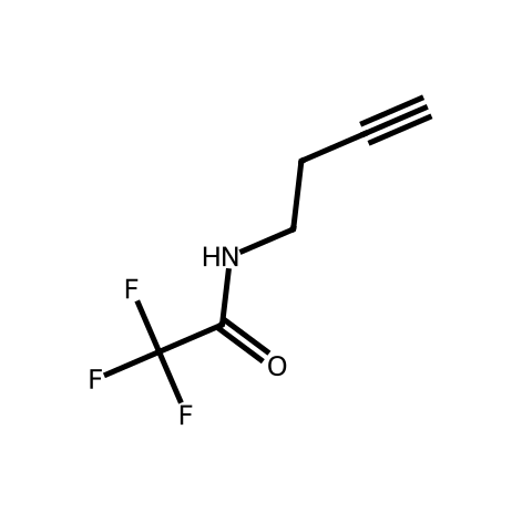 C#CCCNC(=O)C(F)(F)F